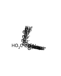 O=C(O)CCC(=O)O.[Na+].[Na+].[Na+].[Na+].[Na+].[Na+].[Na+].[Na+].[Na+].[Na+].[Na+].[Na+].[O-]B([O-])[O-].[O-]B([O-])[O-].[O-]B([O-])[O-].[O-]B([O-])[O-]